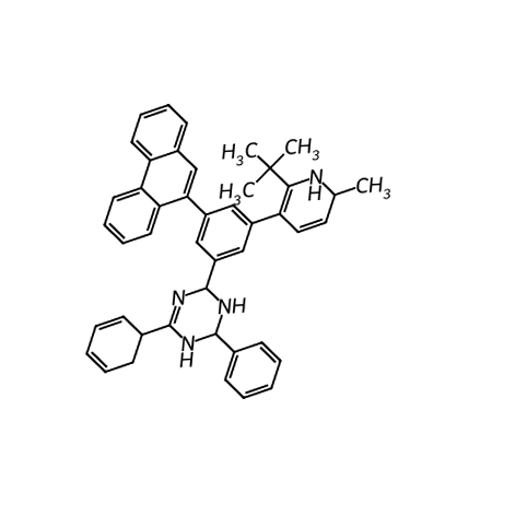 CC1C=CC(c2cc(-c3cc4ccccc4c4ccccc34)cc(C3N=C(C4C=CC=CC4)NC(c4ccccc4)N3)c2)=C(C(C)(C)C)N1